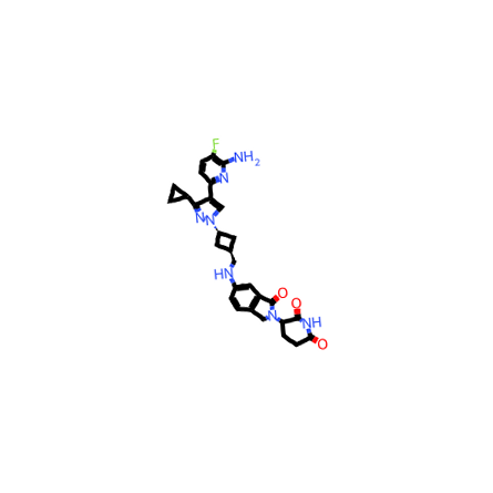 Nc1nc(-c2cn([C@H]3C[C@H](CNc4ccc5c(c4)C(=O)N(C4CCC(=O)NC4=O)C5)C3)nc2C2CC2)ccc1F